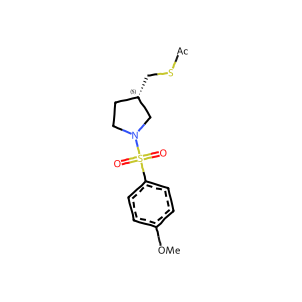 COc1ccc(S(=O)(=O)N2CC[C@H](CSC(C)=O)C2)cc1